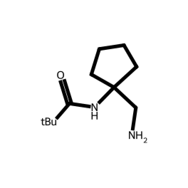 CC(C)(C)C(=O)NC1(CN)CCCC1